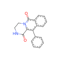 O=C1NCCn2c1c(-c1ccccc1)c1ccccc1c2=O